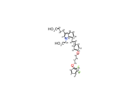 Cc1ccc(OCCCCOc2ccc(/C=C/c3cccc4c(CCCC(=O)O)cn(CC(=O)O)c34)cc2)c(F)c1F